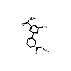 COC(=O)c1cc(O)cc(C2=CCCN(C(=O)OC(C)(C)C)C2)c1